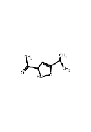 CC(C)C1=CC(C(N)=O)NO1